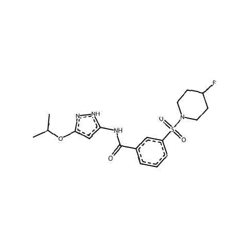 CC(C)Oc1cc(NC(=O)c2cccc(S(=O)(=O)N3CCC(F)CC3)c2)[nH]n1